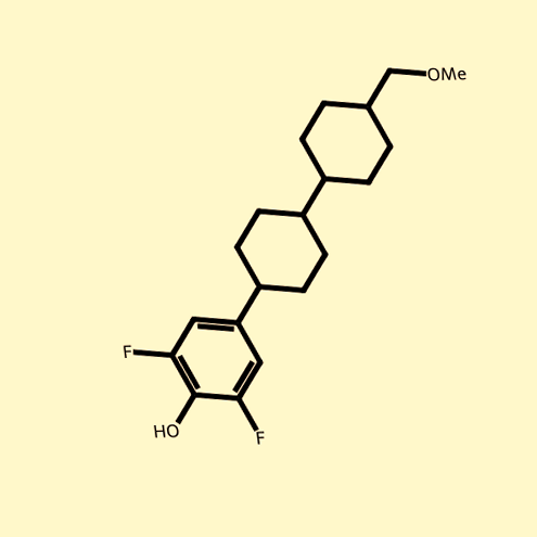 COCC1CCC(C2CCC(c3cc(F)c(O)c(F)c3)CC2)CC1